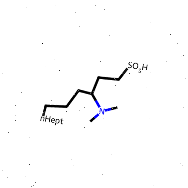 CCCCCCCCCCC(CCS(=O)(=O)O)N(C)C